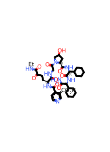 CCNC(=O)C(=O)CC[C@H](NC(=O)c1ccncc1C(=O)O)C(=O)NCC(=O)N1CC(O)C[C@H]1C(=O)N[C@H](C(=O)N[C@H](C(N)=O)C1CCCCC1)C1CCCCC1